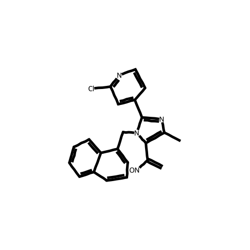 C=C(N=O)c1c(C)nc(-c2ccnc(Cl)c2)n1Cc1cccc2ccccc12